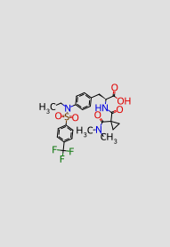 CCN(c1ccc(C[C@H](NC(=O)C2(C(=O)N(C)C)CC2)C(=O)O)cc1)S(=O)(=O)c1ccc(C(F)(F)F)cc1